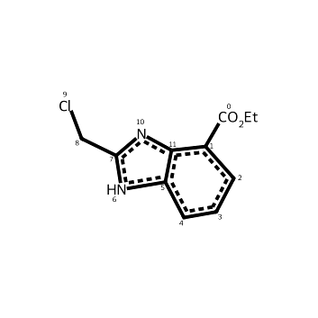 CCOC(=O)c1cccc2[nH]c(CCl)nc12